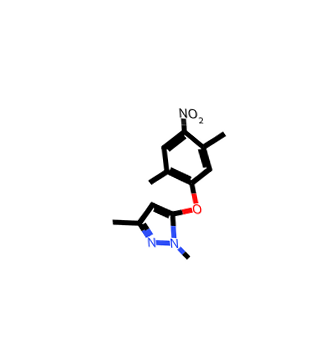 Cc1cc(Oc2cc(C)c([N+](=O)[O-])cc2C)n(C)n1